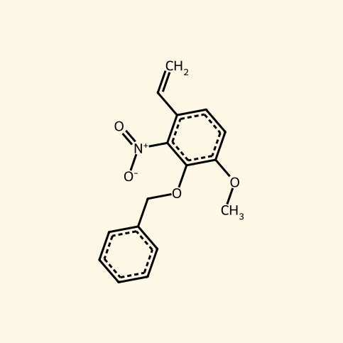 C=Cc1ccc(OC)c(OCc2ccccc2)c1[N+](=O)[O-]